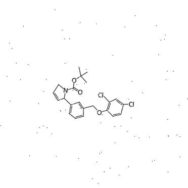 CC(C)(C)OC(=O)N1CC=CC1c1cccc(COc2ccc(Cl)cc2Cl)c1